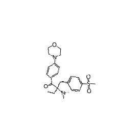 CCC(Cc1ccc(S(C)(=O)=O)cc1)(C(=O)c1ccc(N2CCOCC2)cc1)N(C)C